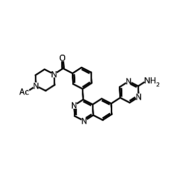 CC(=O)N1CCN(C(=O)c2cccc(-c3ncnc4ccc(-c5cnc(N)nc5)cc34)c2)CC1